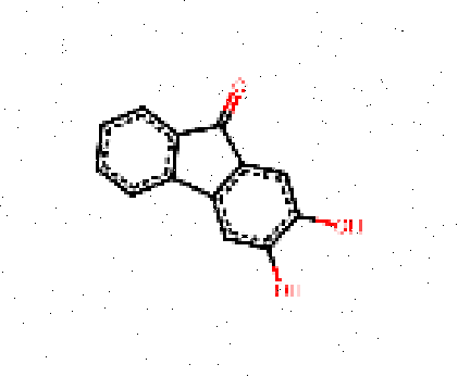 O=C1c2ccccc2-c2cc(O)c(O)cc21